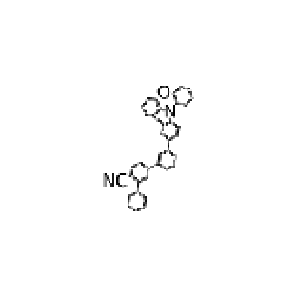 N#Cc1ccc(-c2cccc(-c3ccc4c(c3)c3cccc5c3n4-c3ccccc3O5)c2)cc1-c1ccccc1